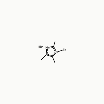 Br.CCn1c(C)nc(C)c1C